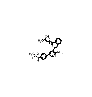 CC(C)CNC(=O)c1ccccc1COc1cc(-c2ccc(NS(C)(=O)=O)cc2)cnc1N